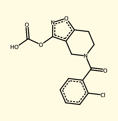 O=C(O)Oc1noc2c1CN(C(=O)c1ccccc1Cl)CC2